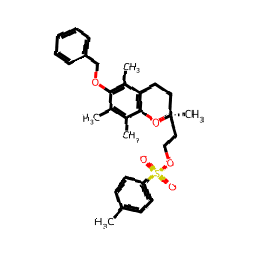 Cc1ccc(S(=O)(=O)OCC[C@]2(C)CCc3c(C)c(OCc4ccccc4)c(C)c(C)c3O2)cc1